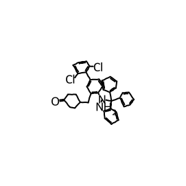 NN(c1ccc(-c2c(Cl)cccc2Cl)cc1CC1CCC(=O)CC1)C(c1ccccc1)(c1ccccc1)c1ccccc1